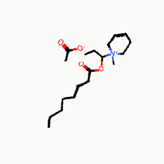 CC(=O)[O-].CCCCCCCC(=O)OC(CC)[N+]1(C)CC=CCC1